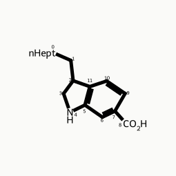 CCCCCCCCC1CNc2cc(C(=O)O)ccc21